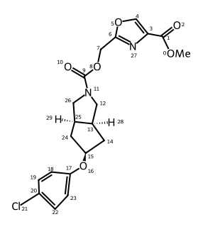 COC(=O)c1coc(COC(=O)N2C[C@H]3C[C@@H](Oc4ccc(Cl)cc4)C[C@H]3C2)n1